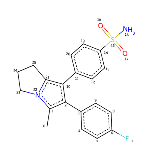 Cc1c(-c2ccc(F)cc2)c(-c2ccc(S(N)(=O)=O)cc2)c2n1CCC2